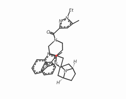 CCn1nc(C(=O)N2CCC(CCN3[C@@H]4CC[C@H]3C[C@@H](n3c(C)nc5ccccc53)C4)(c3ccccc3)CC2)cc1C